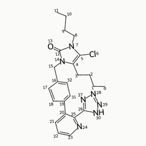 CCCCc1c(Cl)n(CCCC)c(=O)n1Cc1ccc(-c2cccnc2-c2nnn[nH]2)cc1